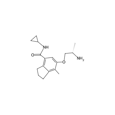 Cc1c(OC[C@H](C)N)cc(C(=O)NC2CC2)c2c1CCC2